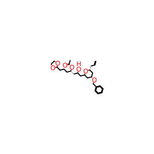 C=CC[C@@H]1CC(OCc2ccccc2)CC(C[C@H](O)C[C@H](CCCC2OCCO2)OC(C)=O)O1